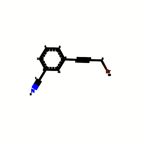 N#Cc1cccc(C#CCBr)c1